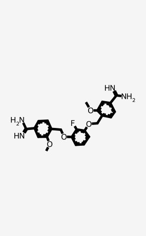 COc1cc(C(=N)N)ccc1COc1cccc(OCc2ccc(C(=N)N)cc2OC)c1F